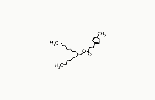 CCCCCCCCC(CCCCCC)COC(=O)CCc1ccc(C)cc1